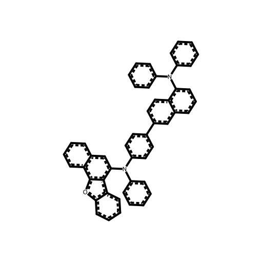 c1ccc(N(c2ccccc2)c2cccc3cc(-c4ccc(N(c5ccccc5)c5cc6ccccc6c6oc7ccccc7c56)cc4)ccc23)cc1